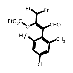 CCOC(=O)O/C(=C(/C=O)c1c(C)cc(Cl)cc1C)C(CC)CC